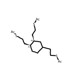 CC(=O)SCCC1CC[C@@H](CCSC(C)=O)[C@@H](CCSC(C)=O)C1